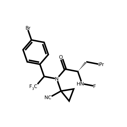 CC(C)C[C@H](NF)C(=O)N(C(c1ccc(Br)cc1)C(F)(F)F)C1(C#N)CC1